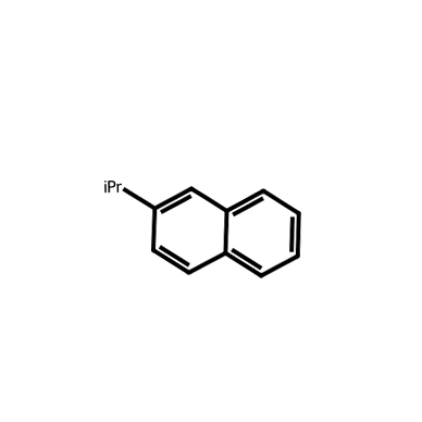 [CH2]C(C)c1ccc2ccccc2c1